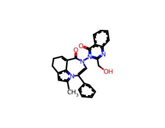 Cc1cc2c3n1C(c1ccccc1)=CN(n1c(CO)nc4ccccc4c1=O)C(=O)C3=CCC2